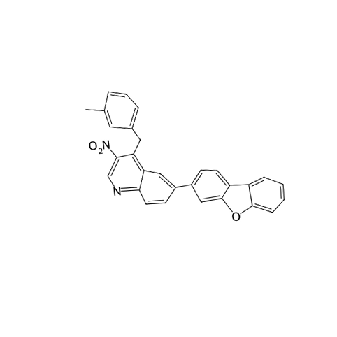 Cc1cccc(Cc2c([N+](=O)[O-])cnc3ccc(-c4ccc5c(c4)oc4ccccc45)cc23)c1